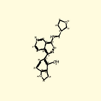 Oc1c(-c2nnc(NC[C@H]3CCOC3)c3cnccc23)ccc2c1CCO2